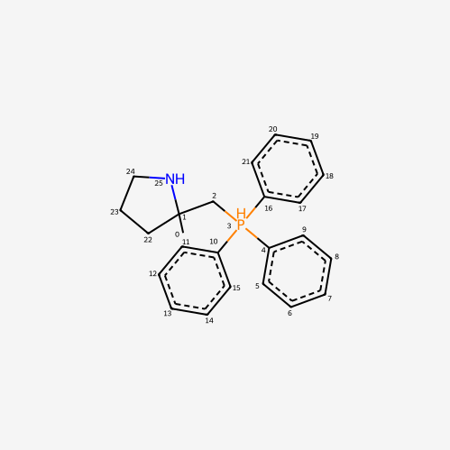 CC1(C[PH](c2ccccc2)(c2ccccc2)c2ccccc2)CCCN1